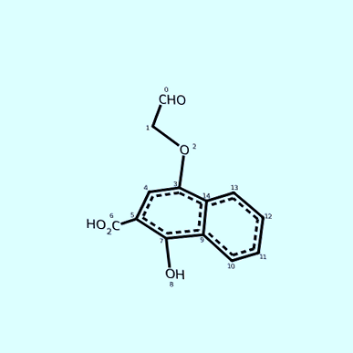 O=CCOc1cc(C(=O)O)c(O)c2ccccc12